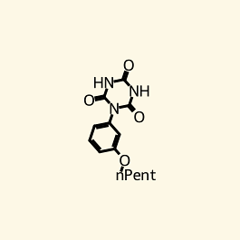 CCCCCOc1cccc(-n2c(=O)[nH]c(=O)[nH]c2=O)c1